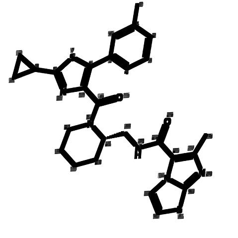 Cc1cccc(-c2sc(C3CC3)nc2C(=O)N2CCCC[C@H]2CNC(=O)c2c(C)nc3sccn23)c1